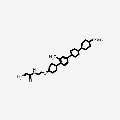 C=CC(=O)NCCOC1CCC(c2ccc(C3CCC(C4CCC(CCCCC)CC4)CC3)cc2C)CC1